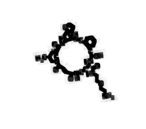 C[C@H]1C[C@@H]2CN(C1)C(=O)/C=C/C(=O)NCC[C@@H](C(=O)NCCOCCN)NC(O)Cc1ccccc1CNC(=O)[C@H](Cc1ccco1)NC2=O